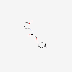 O=C(COc1ccc(I)cc1)NC1CCCC1=O